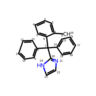 Cc1ccccc1C(c1ccccc1)(c1ccccc1)c1ncc[nH]1